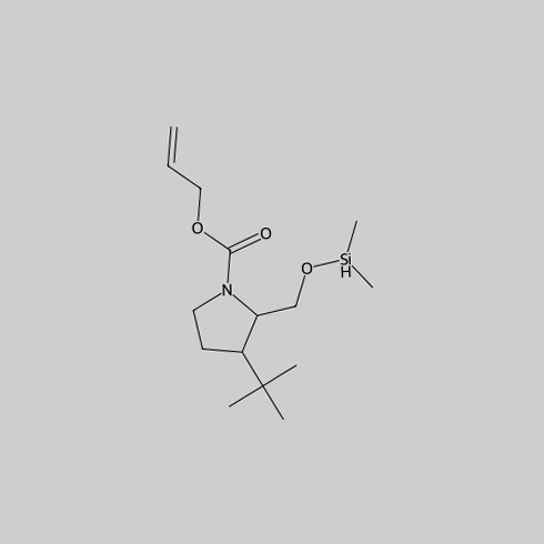 C=CCOC(=O)N1CCC(C(C)(C)C)C1CO[SiH](C)C